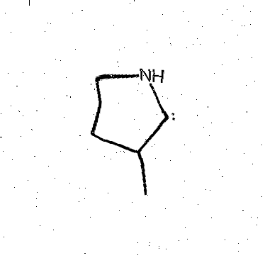 CC1[C]NCC1